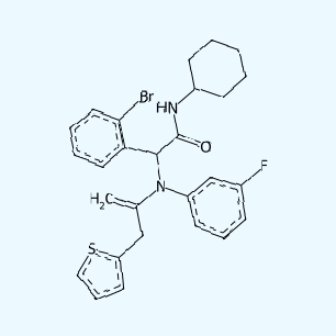 C=C(Cc1cccs1)N(c1cccc(F)c1)C(C(=O)NC1CCCCC1)c1ccccc1Br